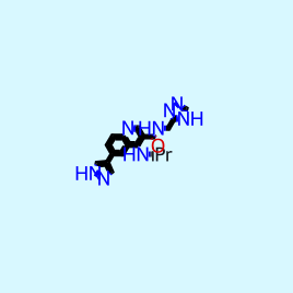 CC(C)Nc1c(C(=O)NCc2nnc[nH]2)cnc2ccc(-c3cn[nH]c3)cc12